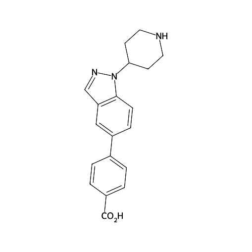 O=C(O)c1ccc(-c2ccc3c(cnn3C3CCNCC3)c2)cc1